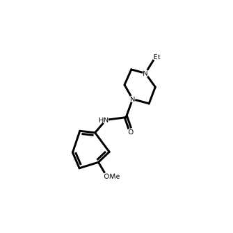 CCN1CCN(C(=O)Nc2cccc(OC)c2)CC1